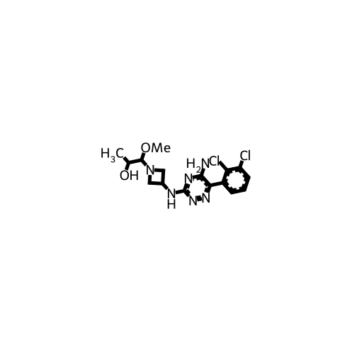 COC(C(C)O)N1CC(Nc2nnc(-c3cccc(Cl)c3Cl)c(N)n2)C1